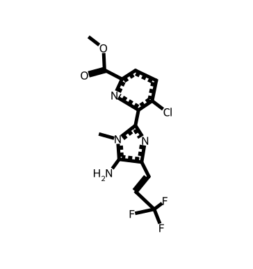 COC(=O)c1ccc(Cl)c(-c2nc(/C=C/C(F)(F)F)c(N)n2C)n1